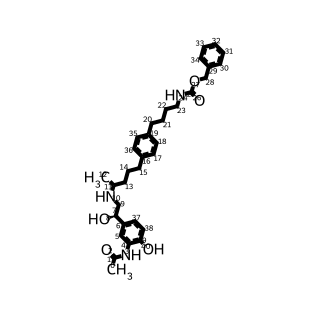 CC(=O)Nc1cc([C@@H](O)CNC(C)CCCc2ccc(CCCCNC(=O)OCc3ccccc3)cc2)ccc1O